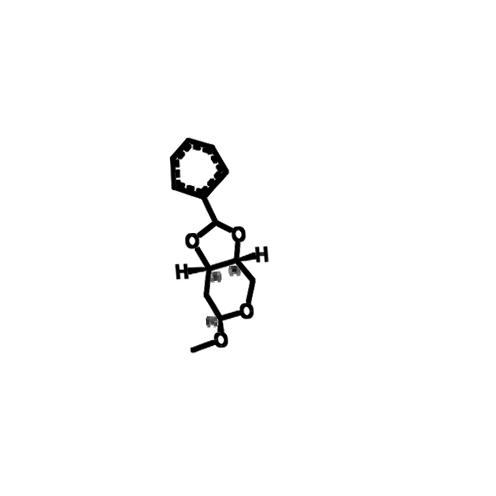 CO[C@H]1C[C@@H]2OC(c3ccccc3)O[C@@H]2CO1